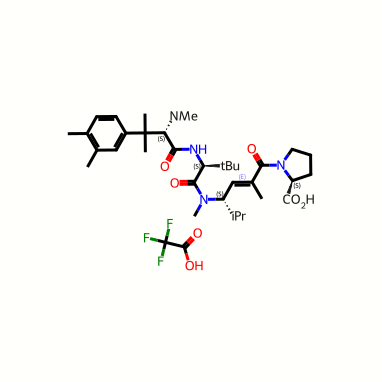 CN[C@H](C(=O)N[C@H](C(=O)N(C)[C@H](/C=C(\C)C(=O)N1CCC[C@H]1C(=O)O)C(C)C)C(C)(C)C)C(C)(C)c1ccc(C)c(C)c1.O=C(O)C(F)(F)F